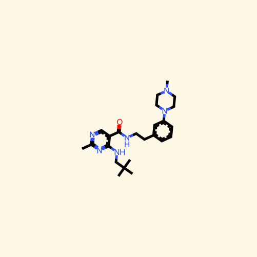 Cc1ncc(C(=O)NCCc2cccc(N3CCN(C)CC3)c2)c(NCC(C)(C)C)n1